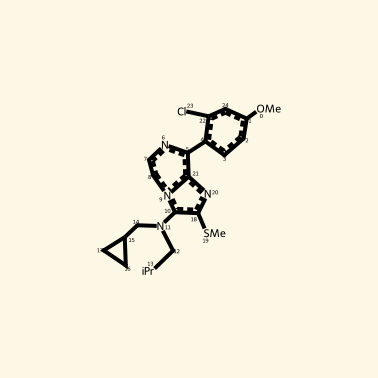 COc1ccc(-c2nccn3c(N(CC(C)C)CC4CC4)c(SC)nc23)c(Cl)c1